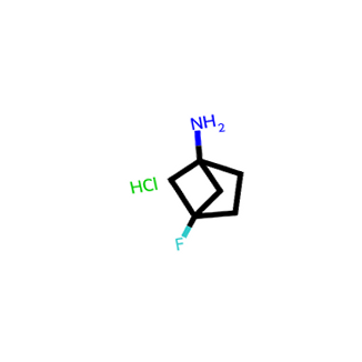 Cl.NC12CCC(F)(C1)C2